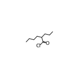 CCCCC(CCC)C(=O)Cl